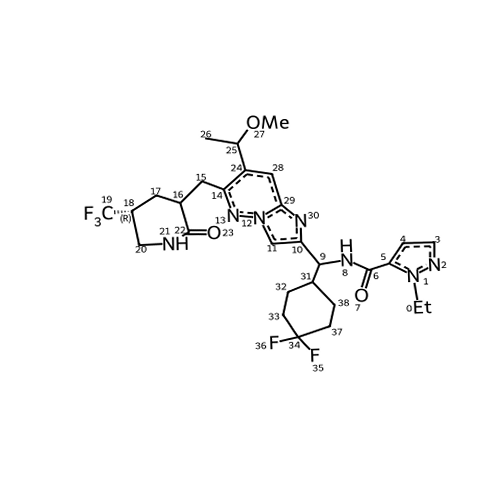 CCn1nccc1C(=O)NC(c1cn2nc(CC3C[C@@H](C(F)(F)F)CNC3=O)c(C(C)OC)cc2n1)C1CCC(F)(F)CC1